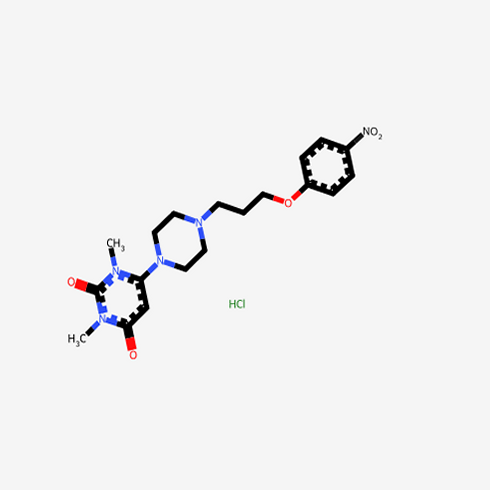 Cl.Cn1c(N2CCN(CCCOc3ccc([N+](=O)[O-])cc3)CC2)cc(=O)n(C)c1=O